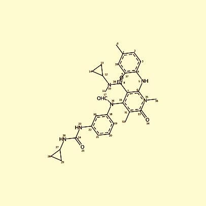 Cc1ccc(Nc2c(C(=O)N(C)C3CC3)c(N(C=O)c3cccc(NC(=O)NC4CC4)c3)c(C)c(=O)n2C)c(F)c1